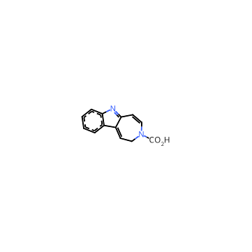 O=C(O)N1C=CC2=Nc3ccccc3C2=CC1